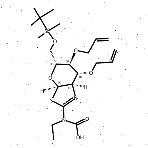 C=CCO[C@@H]1[C@H]2N=C(N(CC)C(=O)O)S[C@H]2O[C@H](CO[Si](C)(C)C(C)(C)C)[C@H]1OCC=C